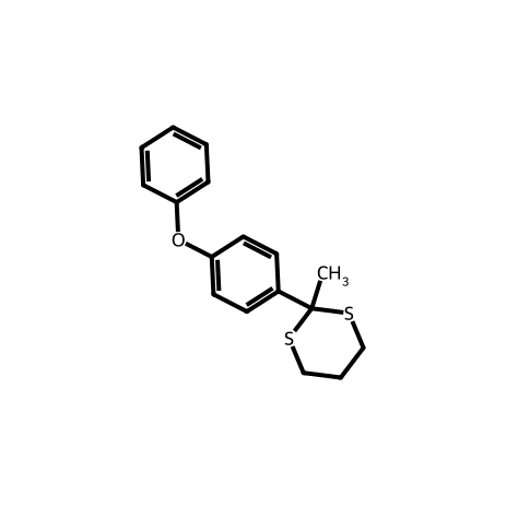 CC1(c2ccc(Oc3ccccc3)cc2)SCCCS1